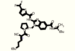 C[C@H](NC(=O)c1ccc2c(c1)nc(NC(=O)c1ccc(C(F)F)s1)n2C[C@H]1CCCN1C(=O)/C(C#N)=C/CCC(C)(C)C)C(C)(C)C